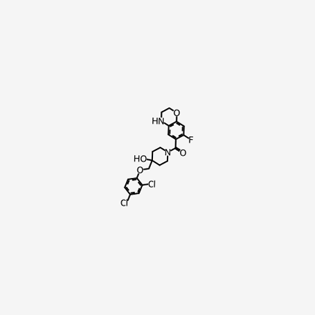 O=C(c1cc2c(cc1F)OCCN2)N1CCC(O)(COc2ccc(Cl)cc2Cl)CC1